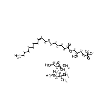 CCCCCCCC/C=C\CCCCCCCC(=O)OCC(O)COP(=O)([O-])[O-].C[N+](C)(C)CCO.C[N+](C)(C)CCO